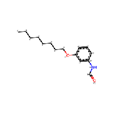 CCCCCCCCOc1cccc(NC=O)c1